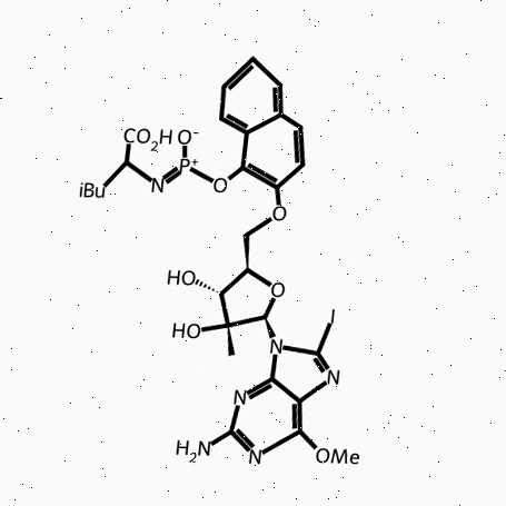 CCC(C)C(/N=[P+](\[O-])Oc1c(OC[C@H]2O[C@@H](n3c(I)nc4c(OC)nc(N)nc43)[C@](C)(O)[C@@H]2O)ccc2ccccc12)C(=O)O